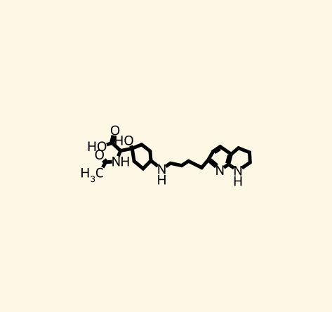 CC(=O)NC(C(=O)O)C1(O)CCC(NCCCCc2ccc3c(n2)NCCC3)CC1